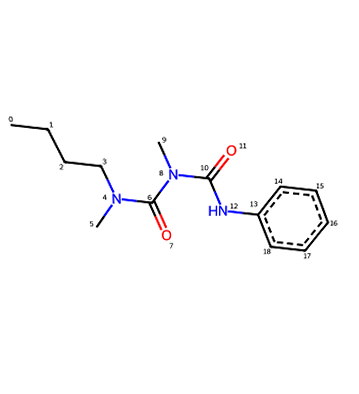 CCCCN(C)C(=O)N(C)C(=O)Nc1ccccc1